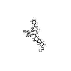 CCOc1ccc(Cc2cc(C3OC4COC(c5ccccc5)OC4C(O[Si](C)(C)C(C)(C)C)C3OC(C)=O)ccc2Cl)cc1